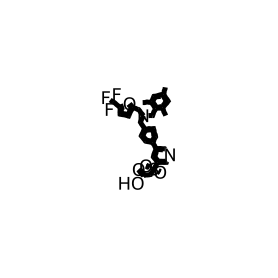 Cc1cc(C)c(CN(Cc2ccc(-c3cncc(S(=O)(=O)CC(=O)O)c3)cc2)Cc2ccc(C(F)(F)F)o2)c(C)c1